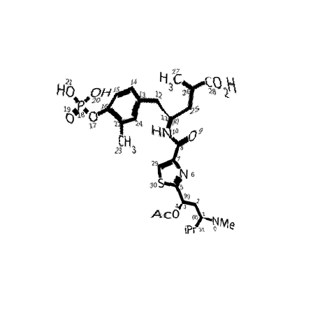 CN[C@H](C[C@@H](OC(C)=O)c1nc(C(=O)N[C@@H](Cc2ccc(OP(=O)(O)O)c(C)c2)CC(C)C(=O)O)cs1)C(C)C